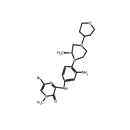 C[C@H]1CN(C2CCOCC2)CCN1c1ccc(Nc2nc(Br)cn(C)c2=O)cc1N